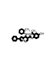 CCc1cc(O)ccc1/N=C(\N)c1cnn2cc(-c3ccccc3)cc2c1N[C@@H]1CCCC[C@@H]1C